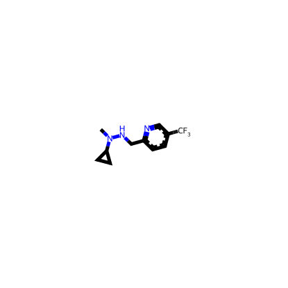 CN(NCc1ccc(C(F)(F)F)cn1)C1CC1